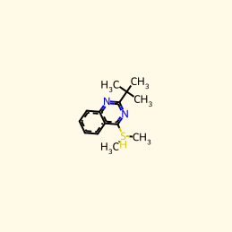 C[SH](C)c1nc(C(C)(C)C)nc2ccccc12